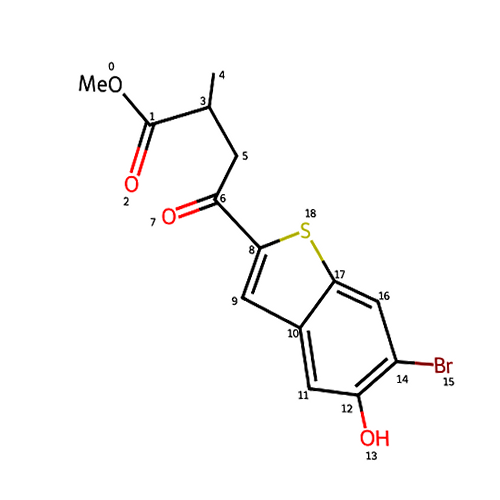 COC(=O)C(C)CC(=O)c1cc2cc(O)c(Br)cc2s1